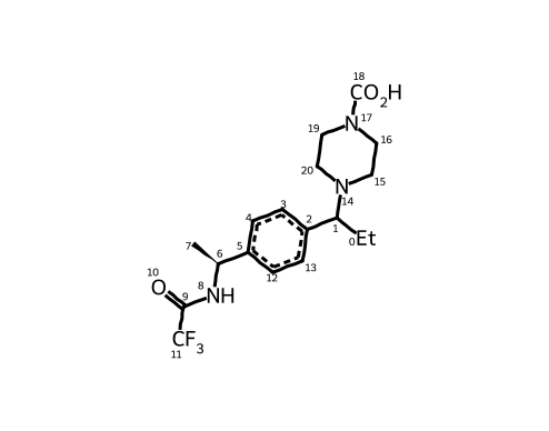 CCC(c1ccc([C@H](C)NC(=O)C(F)(F)F)cc1)N1CCN(C(=O)O)CC1